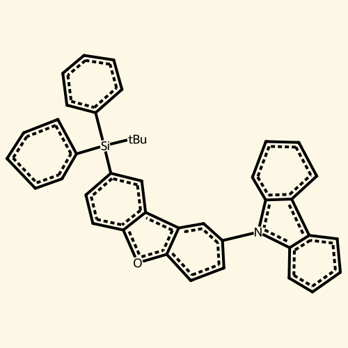 CC(C)(C)[Si](c1ccccc1)(c1ccccc1)c1ccc2oc3ccc(-n4c5ccccc5c5ccccc54)cc3c2c1